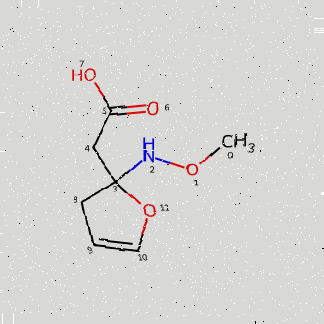 CONC1(CC(=O)O)CC=CO1